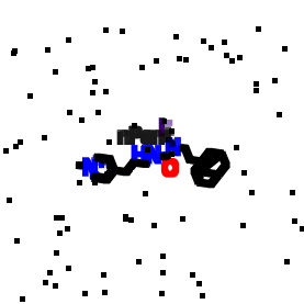 CCCCCN(CCC12CC3CC(CC(C3)C1)C2)C(=O)NCCCc1cc[n+](C)cc1.[I-]